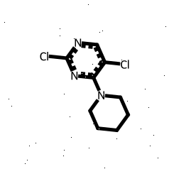 Clc1ncc(Cl)c(N2CCCCC2)n1